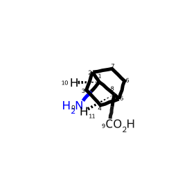 N[C@H]1C2CCC(CC2)[C@H]1C(=O)O